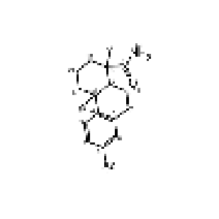 CC(=O)c1ccc2c(c1)CCC1C(C)(C(N)=O)CCCC21C